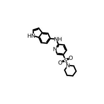 O=S(=O)(c1ccc(Nc2ccc3[nH]ccc3c2)nc1)N1CCCCC1